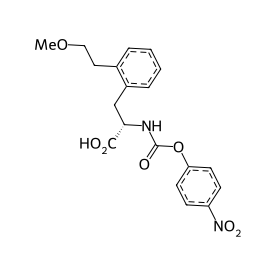 COCCc1ccccc1C[C@H](NC(=O)Oc1ccc([N+](=O)[O-])cc1)C(=O)O